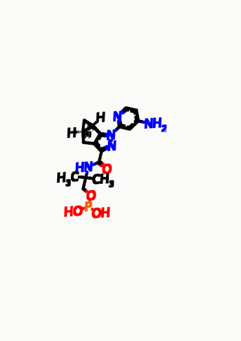 CC(C)(COP(O)O)NC(=O)c1nn(-c2cc(N)ccn2)c2c1C[C@H]1C[C@@H]21